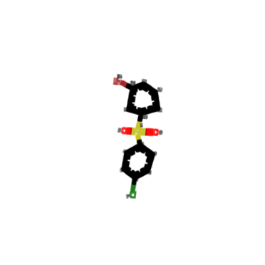 O=S(=O)(c1ccc(Cl)cc1)c1cccc(Br)c1